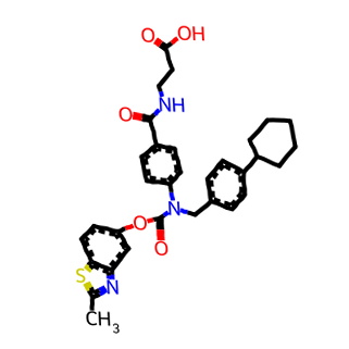 Cc1nc2cc(OC(=O)N(Cc3ccc(C4CCCCC4)cc3)c3ccc(C(=O)NCCC(=O)O)cc3)ccc2s1